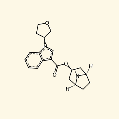 CN1[C@@H]2CC[C@H]1C[C@@H](OC(=O)c1cn([C@H]3CCOC3)c3ccccc13)C2